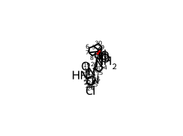 NC(=O)[C@]12CC3CC(C1)[C@@H](OC(=O)N1CC[C@@H](n4c(=O)[nH]c5cc(Cl)cnc54)C1)C(C3)C2